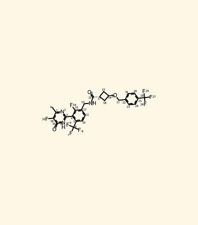 Cc1nc(-c2c(C(F)(F)F)ccc(CNC(=O)[C@H]3C[C@H](OCc4ccc(C(F)(F)F)cc4)C3)c2F)[nH]c(=O)c1F